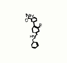 NC(=O)c1cccc(-c2ccc(CNCCc3ccccc3)cc2F)c1